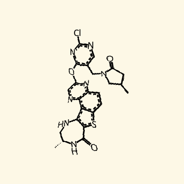 CC1CC(=O)N(Cc2cnc(Cl)nc2Oc2cnc3c(ccc4sc5c(c43)NC[C@@H](C)NC5=O)n2)C1